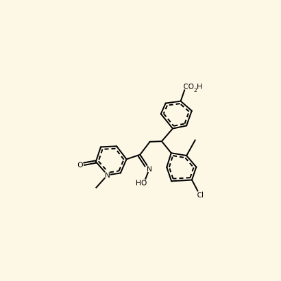 Cc1cc(Cl)ccc1C(C/C(=N/O)c1ccc(=O)n(C)c1)c1ccc(C(=O)O)cc1